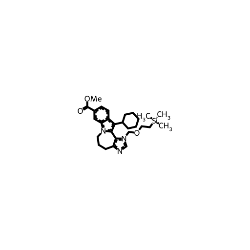 COC(=O)c1ccc2c(C3CCCCC3)c3n(c2c1)CCCc1ncn(COCC[Si](C)(C)C)c1-3